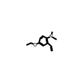 C=Cc1cc(OCC)ccc1N(C)C